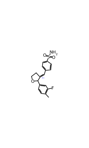 Cc1ccc(C2OCC/C2=C\c2ccc(S(N)(=O)=O)cc2)cc1F